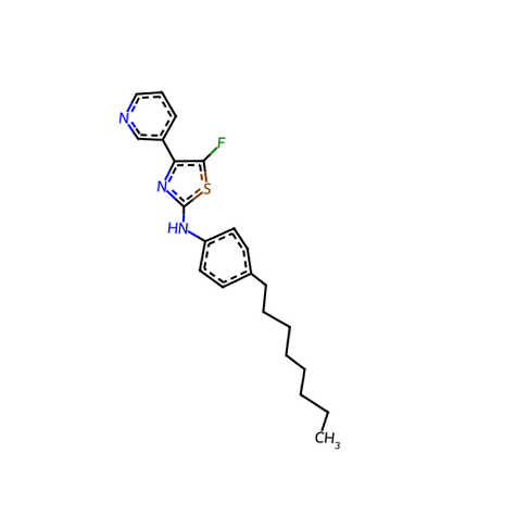 CCCCCCCCc1ccc(Nc2nc(-c3cccnc3)c(F)s2)cc1